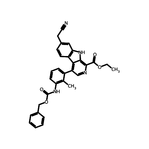 CCOC(=O)c1ncc(-c2cccc(NC(=O)OCc3ccccc3)c2C)c2c1[nH]c1cc(CC#N)ccc12